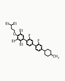 CCc1cc(-c2ccc(-c3ccc(C4CCC(C)CC4)cc3F)cc2F)c(CC)c(CC)c1OCCC(CC)CC